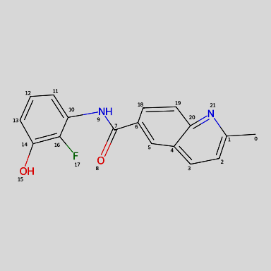 Cc1ccc2cc(C(=O)Nc3cccc(O)c3F)ccc2n1